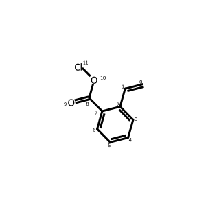 C=Cc1ccccc1C(=O)OCl